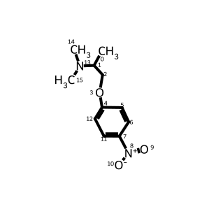 CC(COc1ccc([N+](=O)[O-])cc1)N(C)C